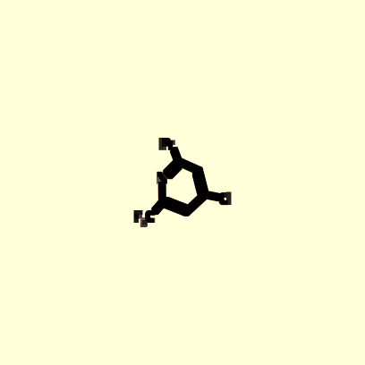 CC(C)c1cc(Cl)cc(C(F)(F)F)n1